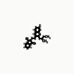 CC[C@H](C)Cc1nc2cc(F)ccc2cc1CCN1C(=O)c2ccccc2C1=O